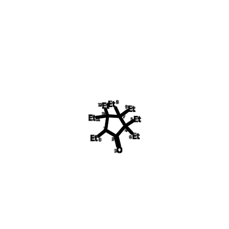 CCC1C(=O)C(CC)(CC)C(CC)(CC)C1(CC)CC